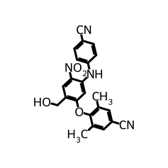 Cc1cc(C#N)cc(C)c1Oc1cc(Nc2ccc(C#N)cc2)c([N+](=O)[O-])cc1CO